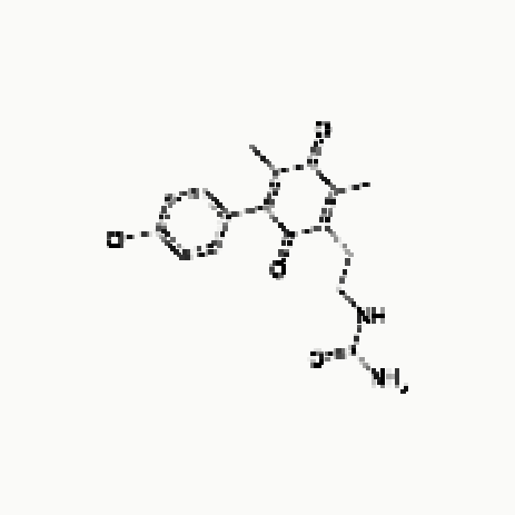 CC1=C(CCNC(N)=O)C(=O)C(c2ccc(Cl)cc2)=C(C)C1=O